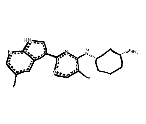 N[C@@H]1CCC[C@H](Nc2nc(-c3c[nH]c4ncc(F)cc34)ncc2F)C1